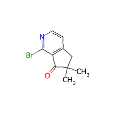 CC1(C)Cc2ccnc(Br)c2C1=O